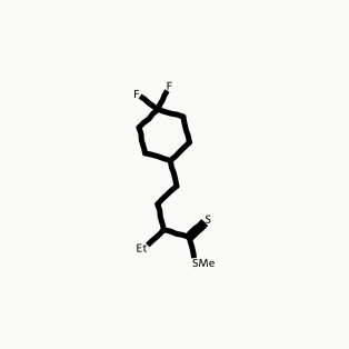 CCC(CCC1CCC(F)(F)CC1)C(=S)SC